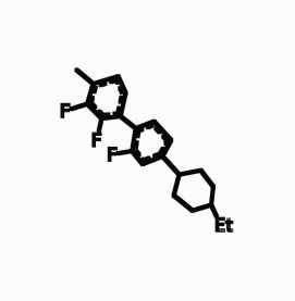 CCC1CCC(c2ccc(-c3ccc(C)c(F)c3F)c(F)c2)CC1